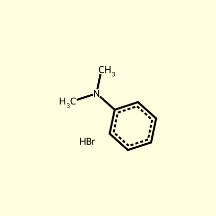 Br.CN(C)c1ccccc1